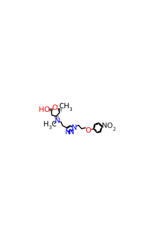 C[C@@H]1C[C@H](N(C)CCc2cn(CCCOc3ccc([N+](=O)[O-])cc3)nn2)C[C@H](O)O1